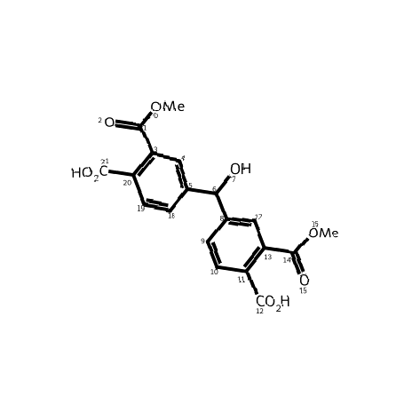 COC(=O)c1cc(C(O)c2ccc(C(=O)O)c(C(=O)OC)c2)ccc1C(=O)O